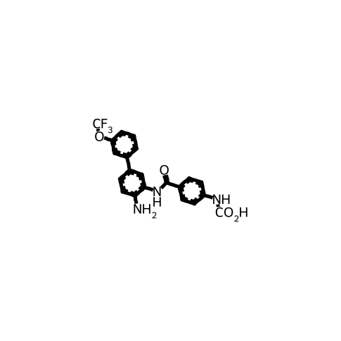 Nc1ccc(-c2cccc(OC(F)(F)F)c2)cc1NC(=O)c1ccc(NC(=O)O)cc1